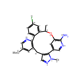 CCn1ncc2c1-c1cnc(N)c(c1)OC(C)c1cc(F)ccc1-c1ncc(OC)cc1C2